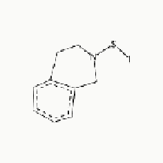 ISN1CCc2ccccc2C1